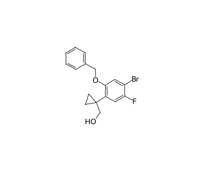 OCC1(c2cc(F)c(Br)cc2OCc2ccccc2)CC1